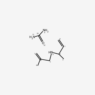 C=CC(C)NCC(=C)C.NC(N)=O